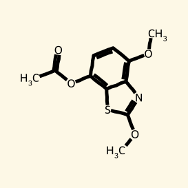 COc1nc2c(OC)ccc(OC(C)=O)c2s1